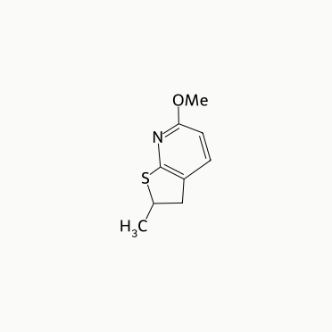 COc1ccc2c(n1)SC(C)C2